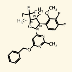 COc1c([C@H]2[C@H](c3cc(OCc4ccccc4)nc(C)n3)O[C@@](C)(C(F)(F)F)[C@H]2C)ccc(F)c1F